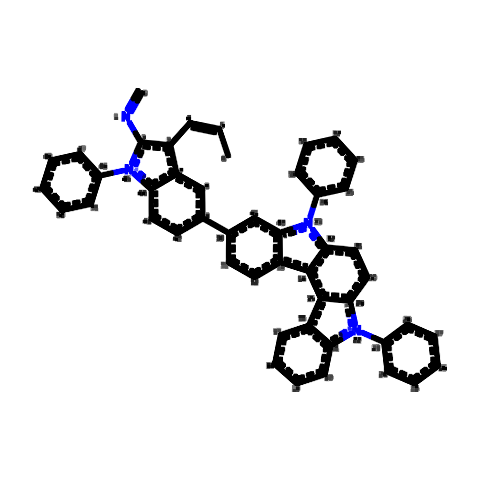 C=Nc1c(/C=C\C)c2cc(-c3ccc4c5c6c7ccccc7n(-c7ccccc7)c6ccc5n(-c5ccccc5)c4c3)ccc2n1-c1ccccc1